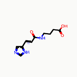 O=C(O)CCCNC(=O)/C=C/c1cnc[nH]1